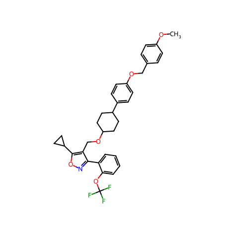 COc1ccc(COc2ccc(C3CCC(OCc4c(-c5ccccc5OC(F)(F)F)noc4C4CC4)CC3)cc2)cc1